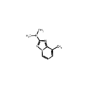 Cc1cccn2nc(N(C)C)nc12